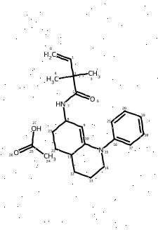 C=CC(C)(C)C(=O)NC1C=C2C(CCCN2c2ccccc2)CC1.CC(=O)O